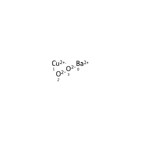 [Ba+2].[Cu+2].[O-2].[O-2]